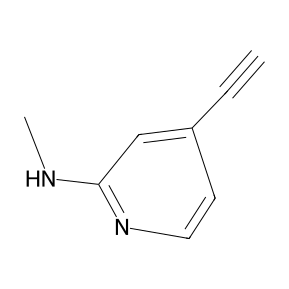 C#Cc1ccnc(NC)c1